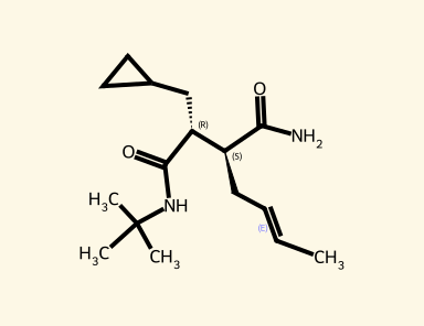 C/C=C/C[C@H](C(N)=O)[C@@H](CC1CC1)C(=O)NC(C)(C)C